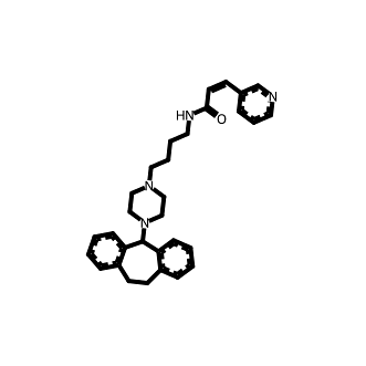 O=C(/C=C\c1cccnc1)NCCCCN1CCN(C2c3ccccc3CCc3ccccc32)CC1